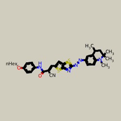 CCCCCCOc1ccc(NC(=O)/C(C#N)=C/c2cc3sc(/N=N/c4ccc5c(c4)C(C)CC(C)(C)N5C)nc3s2)cc1